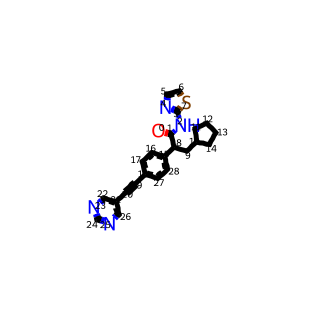 O=C(Nc1nccs1)C(CC1CCCC1)c1ccc(C#Cc2cncnc2)cc1